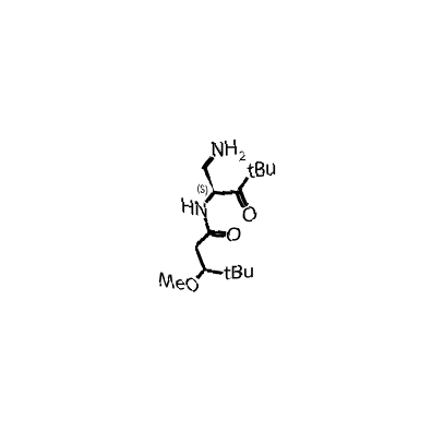 COC(CC(=O)N[C@@H](CN)C(=O)C(C)(C)C)C(C)(C)C